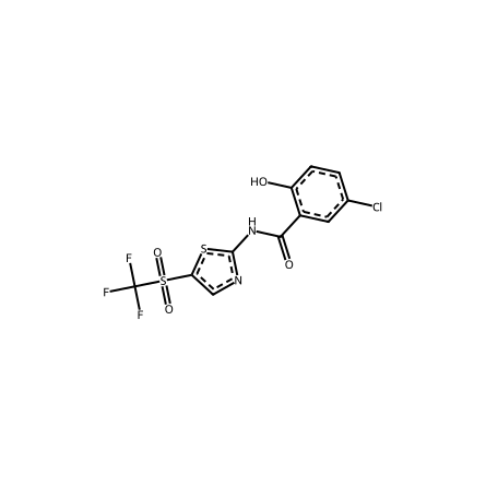 O=C(Nc1ncc(S(=O)(=O)C(F)(F)F)s1)c1cc(Cl)ccc1O